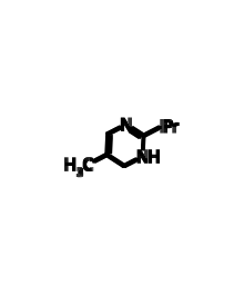 CC1=CN=C(C(C)C)NC1